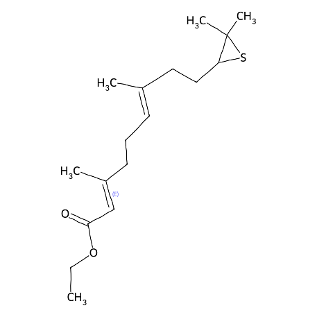 CCOC(=O)/C=C(\C)CCC=C(C)CCC1SC1(C)C